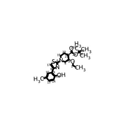 CCO[C@H]1CN(c2nc(-c3cc(C)ccc3O)cs2)CC[C@H]1C(=O)OC(C)(C)C